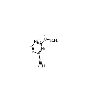 C#Cc1ccnc(OC)n1